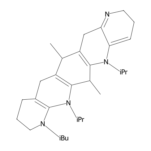 CCC(C)N1CCCC2=C1N(C(C)C)C1=C(C2)C(C)C2=C(C1C)N(C(C)C)C1=CCCN=C1C2